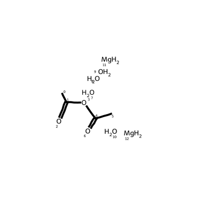 CC(=O)OC(C)=O.O.O.O.O.[MgH2].[MgH2]